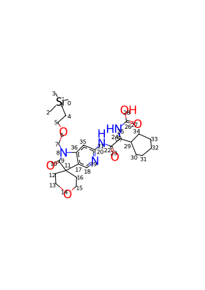 C[Si](C)(C)CCOCN1C(=O)C2(CCOCC2)c2cnc(NC(=O)[C@@H](NC(=O)O)C3CCCCC3)cc21